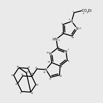 CCOC(=O)Cn1cc(Nc2ncc3ccn(CC45CC6CC(CC(C6)C4)C5)c3n2)cn1